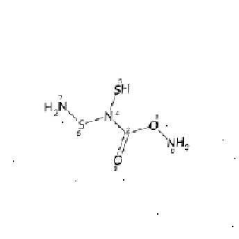 NOC(=O)N(S)SN